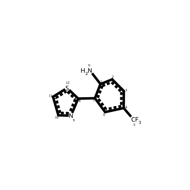 Nc1ccc(C(F)(F)F)cc1-c1nccs1